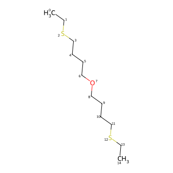 CCSCCCCOCCCCSCC